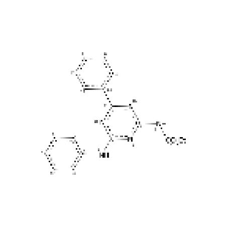 CCOC(=O)Nc1nc(Nc2ccccc2)nc(-c2ccccc2)n1